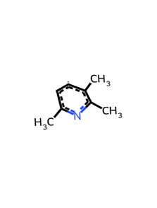 Cc1c[c]c(C)c(C)n1